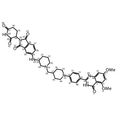 COc1cc(OC)c2c(=O)[nH]c(-c3ccc(N4CCC(CN5CCC[C@H](Nc6ccc7c(c6)C(=O)N(C6CCC(=O)NC6=O)C7=O)C5)CC4)cc3)nc2c1